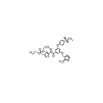 CCOP(=O)(Cc1csc(NC(=O)c2cc(OCc3nnnn3C)cc(Oc3ccc(S(C)(=O)=O)cc3)c2)n1)OCC